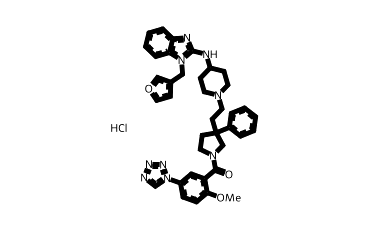 COc1ccc(-n2cnnn2)cc1C(=O)N1CCC(CCN2CCC(Nc3nc4ccccc4n3Cc3ccoc3)CC2)(c2ccccc2)C1.Cl